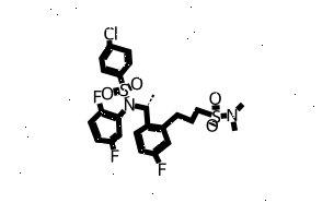 C[C@H](c1ccc(F)cc1CCCS(=O)(=O)N(C)C)N(c1cc(F)ccc1F)S(=O)(=O)c1ccc(Cl)cc1